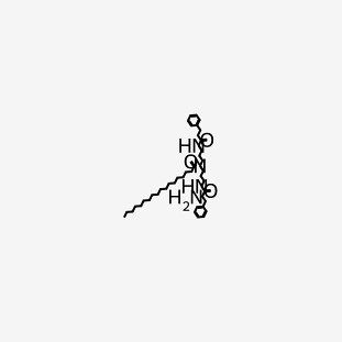 CCCCCCCCCCCCCCCCCC(=O)N(CCCNC(=O)CCc1ccccc1)CCCNC(=O)[C@@H](N)Cc1ccccc1